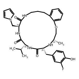 CC(C)[C@H]1NC(=O)[C@@H](Cc2ccc(O)c(F)c2)N[C@@H](C)COc2ccccc2CCCNC(=O)[C@H](Cn2cccc2)NC1=O